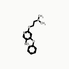 CN(C)CCOc1cc(Oc2ccccc2)c([N+](=O)[O-])cn1